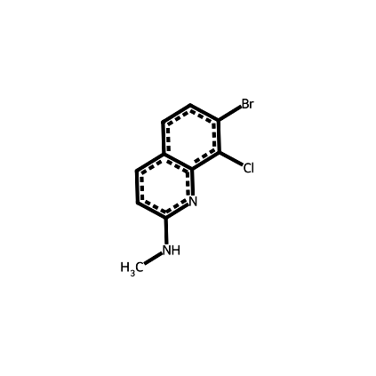 CNc1ccc2ccc(Br)c(Cl)c2n1